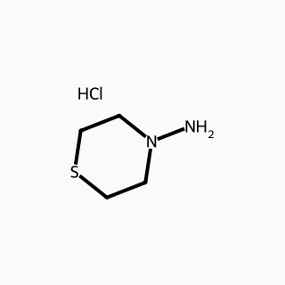 Cl.NN1CCSCC1